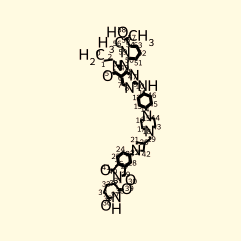 C=CCn1c(=O)c2cnc(Nc3ccc(N4CCN(CC5CN(c6ccc7c(c6)C(=O)N(C6CCC(=O)NC6=O)C7=O)C5)CC4)cc3)nc2n1-c1cccc(C(C)(C)O)n1